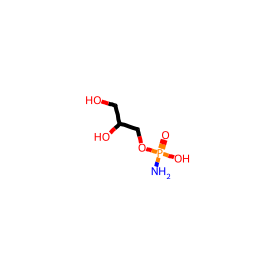 NP(=O)(O)OCC(O)CO